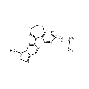 Cc1cnc2ccc(C3=CCCCc4nc(NCC(C)(C)F)ncc43)nn12